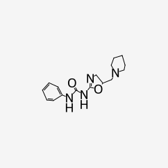 O=C(NC1=NCC(CN2CCCCC2)O1)Nc1ccccc1